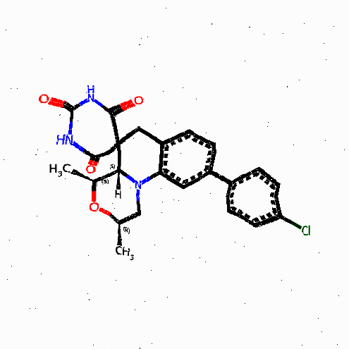 C[C@@H]1CN2c3cc(-c4ccc(Cl)cc4)ccc3CC3(C(=O)NC(=O)NC3=O)[C@H]2[C@H](C)O1